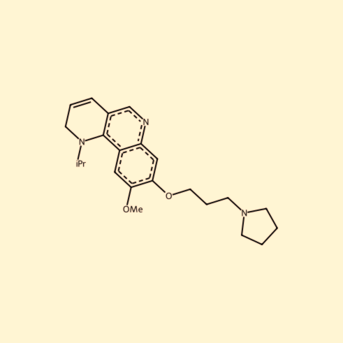 COc1cc2c3c(cnc2cc1OCCCN1CCCC1)C=CCN3C(C)C